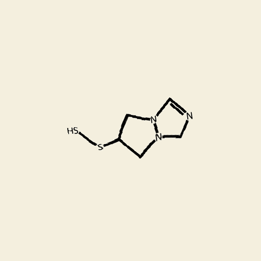 SSC1CN2C=NCN2C1